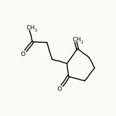 C=C1CCCC(=O)C1CCC(C)=O